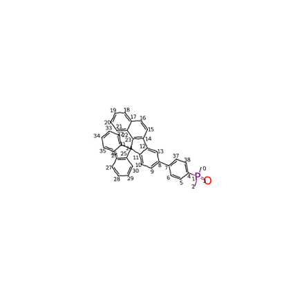 CP(C)(=O)c1ccc(-c2ccc3c(c2)-c2ccc4ccccc4c2C3(c2ccccc2)c2ccccc2)cc1